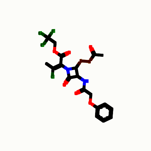 CC(=O)SSC1C(NC(=O)COc2ccccc2)C(=O)N1C(C(=O)OCC(Cl)(Cl)Cl)=C(C)Cl